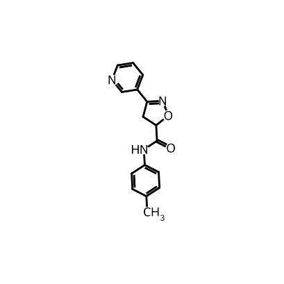 Cc1ccc(NC(=O)C2CC(c3cccnc3)=NO2)cc1